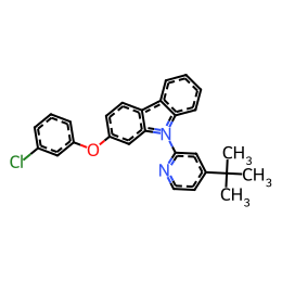 CC(C)(C)c1ccnc(-n2c3ccccc3c3ccc(Oc4cccc(Cl)c4)cc32)c1